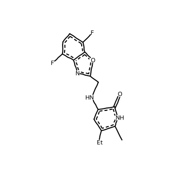 CCc1cc(NCc2nc3c(F)ccc(F)c3o2)c(=O)[nH]c1C